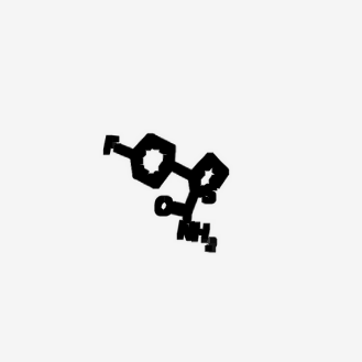 NC(=O)c1sccc1-c1ccc(F)cc1